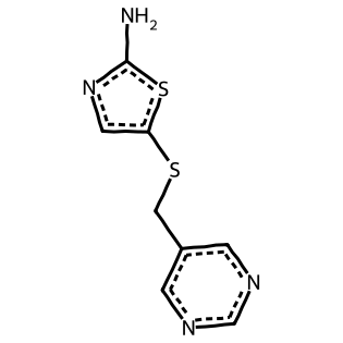 Nc1ncc(SCc2cncnc2)s1